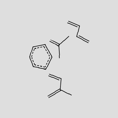 C=C(C)C.C=CC(=C)C.C=CC=C.c1ccccc1